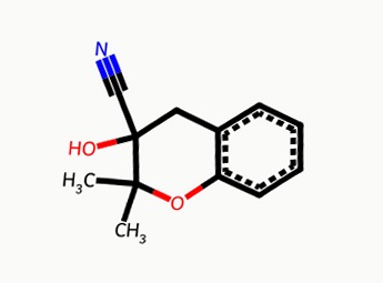 CC1(C)Oc2ccccc2CC1(O)C#N